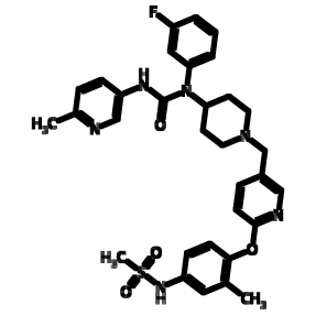 Cc1ccc(NC(=O)N(c2cccc(F)c2)C2CCN(Cc3ccc(Oc4ccc(NS(C)(=O)=O)cc4C)nc3)CC2)cn1